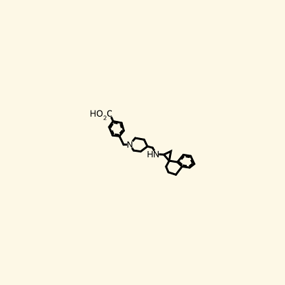 O=C(O)c1ccc(CN2CCC(CNC3CC34CCCc3ccccc34)CC2)cc1